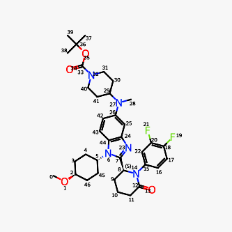 CO[C@H]1CC[C@H](n2c([C@@H]3CCCC(=O)N3c3ccc(F)c(F)c3)nc3cc(N(C)C4CCN(C(=O)OC(C)(C)C)CC4)ccc32)CC1